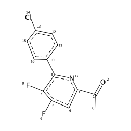 CC(=O)c1cc(F)c(F)c(-c2ccc(Cl)cc2)n1